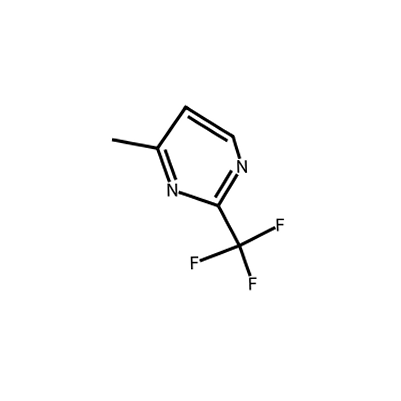 Cc1ccnc(C(F)(F)F)n1